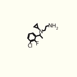 CC(c1cccc(Cl)c1F)N(CCN)C1CC1